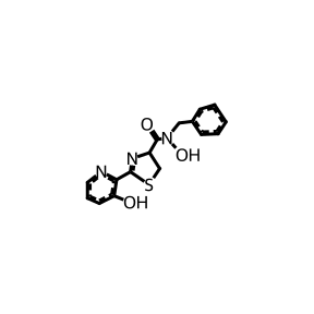 O=C(C1CSC(c2ncccc2O)=N1)N(O)Cc1ccccc1